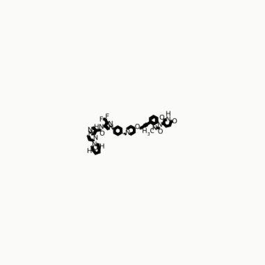 Cn1c(=O)n(C2CCC(=O)NC2=O)c2cccc(C#CCOC3CCN(C[C@H]4CC[C@H](n5cc(NC(=O)c6cnn7ccc(N8C[C@H]9CC[C@@H](C8)O9)nc67)c(C(F)F)n5)CC4)CC3)c21